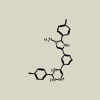 Cc1ccc(C2NNC=C(c3cccc(C4=CN(N)C(c5ccc(C)cc5)N4)c3)N2)cc1